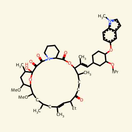 CCCOC1CC(C=C(C)C2OC(=O)C3CCCCN3C(=O)C(=O)C3(O)OC(C(OC)CC(C)C/C(C)=C/C(CC)C(=O)CCC2C)C(OC)CC3C)CCC1Oc1ccc2c(ccn2C)c1